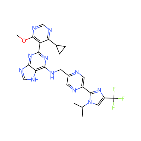 COc1ncnc(C2CC2)c1-c1nc(NCc2cnc(-c3nc(C(F)(F)F)cn3C(C)C)cn2)c2[nH]cnc2n1